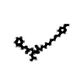 COc1ccc(COCCCCCCCC(=O)N[C@H](CC(=O)OCc2ccccc2)CN(C)C)cc1